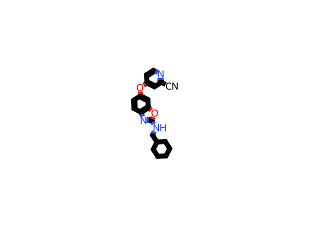 N#Cc1cc(Oc2ccc3nc(NCC4CCCCC4)oc3c2)ccn1